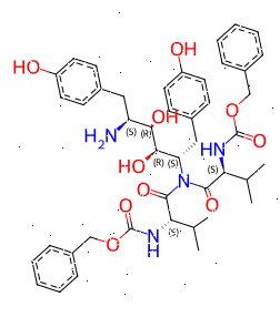 CC(C)[C@H](NC(=O)OCc1ccccc1)C(=O)N(C(=O)[C@@H](NC(=O)OCc1ccccc1)C(C)C)[C@@H](Cc1ccc(O)cc1)[C@@H](O)[C@H](O)[C@@H](N)Cc1ccc(O)cc1